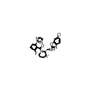 C[C@@H]1CCCN(C(=O)c2c(F)cccc2-n2nccn2)[C@@H]1CNc1nc2ccc(Cl)cc2o1